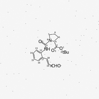 CC(C)(C)OC(=O)C1CCCN1C(=O)Nc1ccccc1/C=C/[C]=O